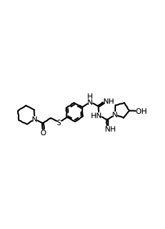 N=C(NC(=N)N1CCC(O)C1)Nc1ccc(SCC(=O)N2CCCCC2)cc1